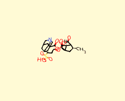 C[C@H]1CC2[C@H](OC(=O)C34CC5CC(CN(C5)C3)C4)OC(=O)C1[C@@H]2C(=O)OCCCS(=O)(=O)O